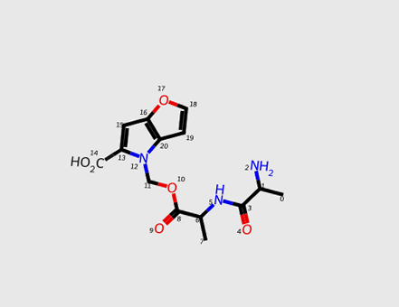 CC(N)C(=O)NC(C)C(=O)OCn1c(C(=O)O)cc2occc21